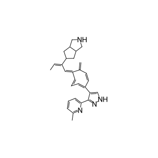 C=C1\C=C/C(c2c[nH]nc2-c2cccc(C)n2)=C/C=C/C1=C/C(=C\C)C1CC2CNCC2C1